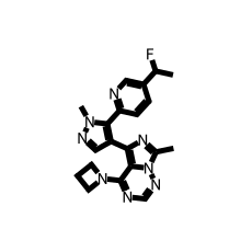 Cc1nc(-c2cnn(C)c2-c2ccc(C(C)F)cn2)c2c(N3CCC3)ncnn12